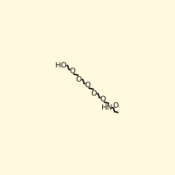 CCC(=O)NCCOCCOCCOCCOCCOCCO